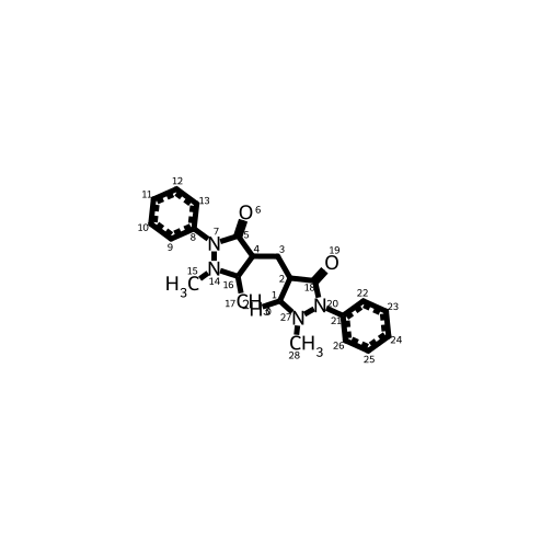 [2H]C1C(CC2C(=O)N(c3ccccc3)N(C)C2C)C(=O)N(c2ccccc2)N1C